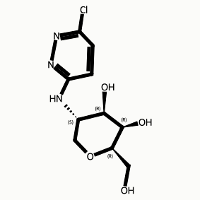 OC[C@H]1OC[C@H](Nc2ccc(Cl)nn2)[C@@H](O)[C@H]1O